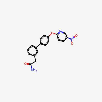 NC(=O)Cc1cccc(-c2ccc(Oc3ccc([N+](=O)[O-])cn3)cc2)c1